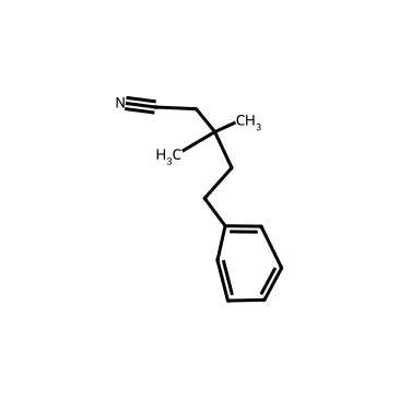 CC(C)(CC#N)CCc1ccccc1